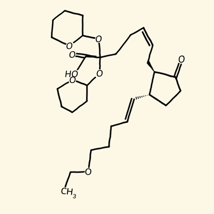 CCOCCC/C=C/[C@H]1CCC(=O)[C@@H]1C/C=C\CCC(OC1CCCCO1)(OC1CCCCO1)C(=O)O